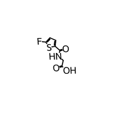 O=C(O)CNC(=O)c1ccc(F)s1